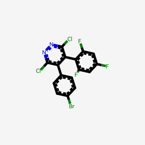 Fc1cc(F)c(-c2c(Cl)nnc(Cl)c2-c2ccc(Br)cc2)c(F)c1